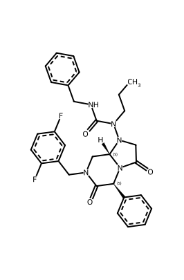 CCCN(C(=O)NCc1ccccc1)N1CC(=O)N2[C@@H](c3ccccc3)C(=O)N(Cc3cc(F)ccc3F)C[C@@H]21